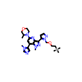 CC1COCCN1c1cc(-c2cncn2C)c2c(n1)c(-c1ccnn1COCC[Si](C)(C)C)nn2C